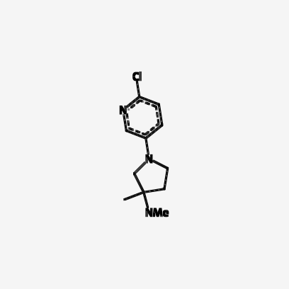 CNC1(C)CCN(c2ccc(Cl)nc2)C1